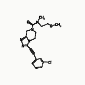 COCCN(C)C(=O)N1CCn2c(C#Cc3cccc(Cl)c3)nnc2C1